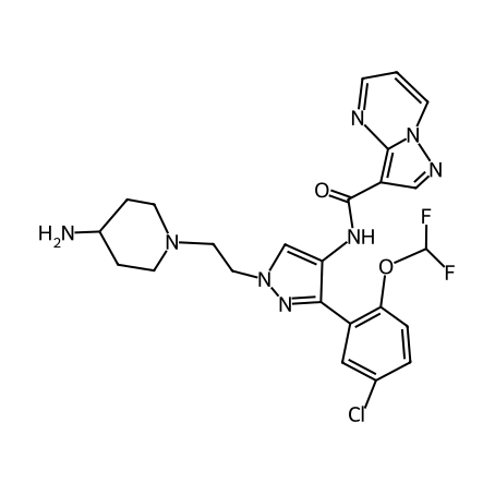 NC1CCN(CCn2cc(NC(=O)c3cnn4cccnc34)c(-c3cc(Cl)ccc3OC(F)F)n2)CC1